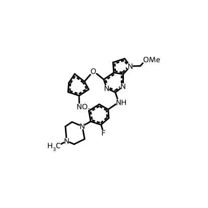 COCn1ccc2c(Oc3cccc([N+](=O)[O-])c3)nc(Nc3ccc(N4CCN(C)CC4)c(F)c3)nc21